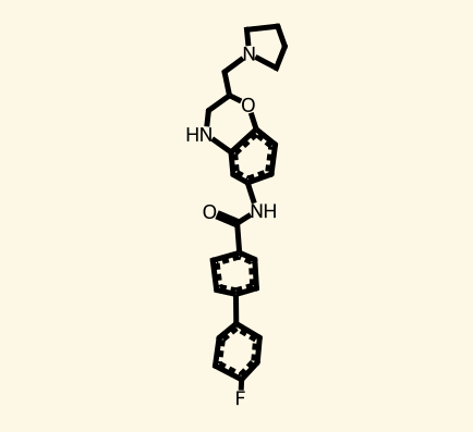 O=C(Nc1ccc2c(c1)NCC(CN1CCCC1)O2)c1ccc(-c2ccc(F)cc2)cc1